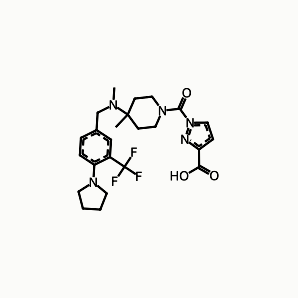 CN(Cc1ccc(N2CCCC2)c(C(F)(F)F)c1)C1(C)CCN(C(=O)n2ccc(C(=O)O)n2)CC1